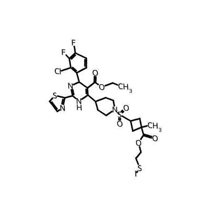 CCOC(=O)C1=C(C2CCN(S(=O)(=O)C3CC(C)(C(=O)OCCSI)C3)CC2)NC(c2nccs2)=NC1c1ccc(F)c(F)c1Cl